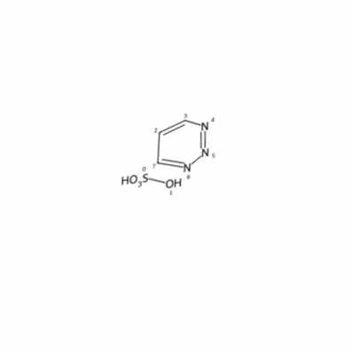 O=S(=O)(O)O.c1cnnnc1